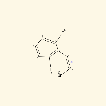 Fc1cccc(F)c1/C=C\Br